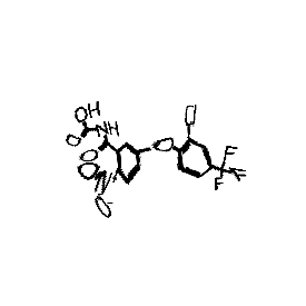 O=C(O)NC(=O)c1cc(Oc2ccc(C(F)(F)F)cc2Cl)ccc1[N+](=O)[O-]